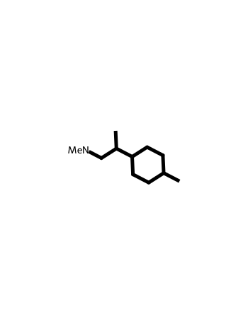 CNCC(C)C1CCC(C)CC1